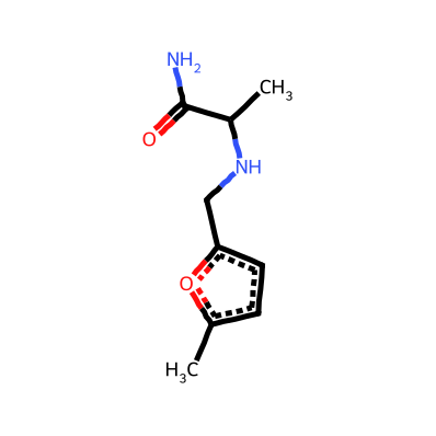 Cc1ccc(CNC(C)C(N)=O)o1